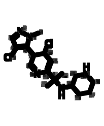 Cn1ncc(Cl)c1C1C=NC(C(C)(C)NC2CCCNC2)=CC1Cl